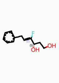 OCC[C@H](O)/C(F)=C/Cc1ccccc1